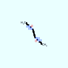 CCCCNC(=O)NCC#CC#CCNC(=O)NCCCC